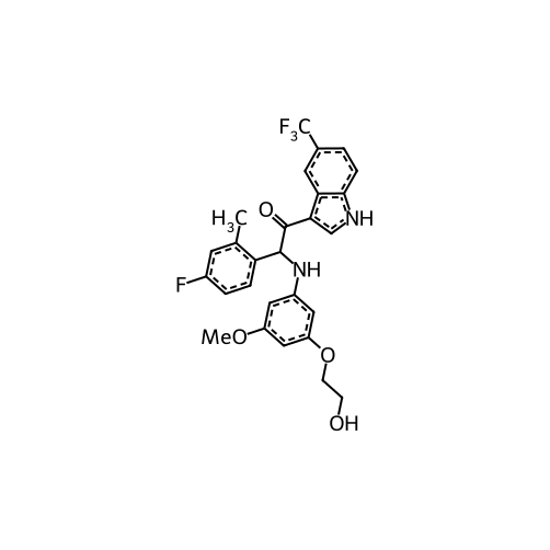 COc1cc(NC(C(=O)c2c[nH]c3ccc(C(F)(F)F)cc23)c2ccc(F)cc2C)cc(OCCO)c1